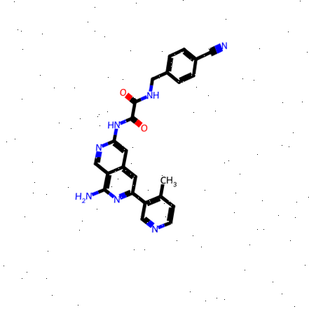 Cc1ccncc1-c1cc2cc(NC(=O)C(=O)NCc3ccc(C#N)cc3)ncc2c(N)n1